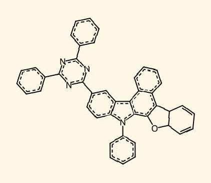 C1=CC2Oc3c(c4ccccc4c4c5cc(-c6nc(-c7ccccc7)nc(-c7ccccc7)n6)ccc5n(-c5ccccc5)c34)C2C=C1